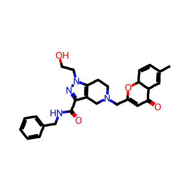 CC1=CC2C(=O)C=C(CN3CCc4c(c(C(=O)NCc5ccccc5)nn4CCO)C3)OC2C=C1